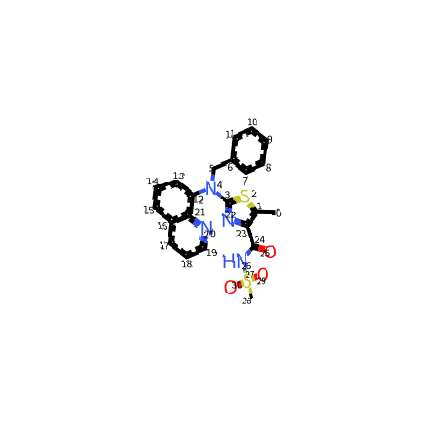 Cc1sc(N(Cc2ccccc2)c2cccc3cccnc23)nc1C(=O)NS(C)(=O)=O